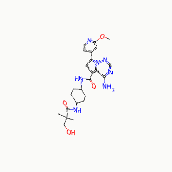 COc1cc(-c2cc(C(=O)NC3CCC(NC(=O)C(C)(C)CO)CC3)c3c(N)ncnn23)ccn1